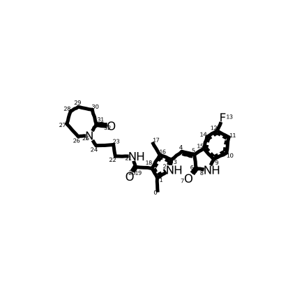 Cc1[nH]c(/C=C2\C(=O)Nc3ccc(F)cc32)c(C)c1C(=O)NCCCN1CCCCCC1=O